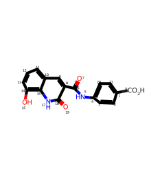 O=C(O)c1ccc(NC(=O)c2cc3cccc(O)c3[nH]c2=O)cc1